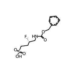 O=C(NC[C@@H](F)CCS(=O)(=O)O)OCc1ccccc1